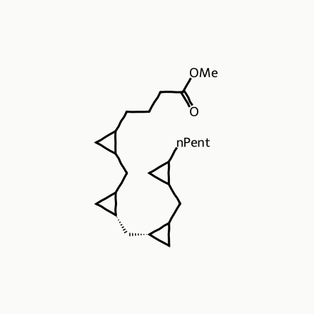 CCCCCC1CC1CC1C[C@@H]1C[C@@H]1CC1CC1CC1CCCC(=O)OC